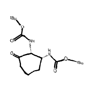 CC(C)(C)OC(=O)N[C@@H]1CCCC(=O)[C@@H]1NC(=O)OC(C)(C)C